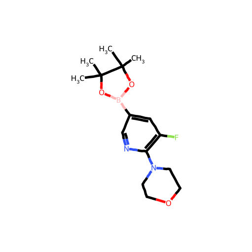 CC1(C)OB(c2cnc(N3CCOCC3)c(F)c2)OC1(C)C